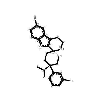 CN(C)[C@]1(c2cccc(F)c2)CC[C@@]2(CC1)NCCc1c3cc(F)ccc3[nH]c12